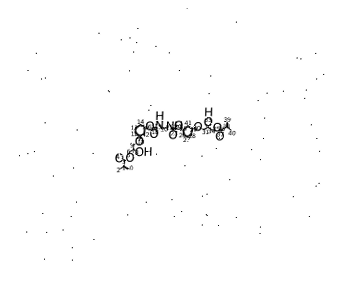 C=C(C)C(=O)OCC(O)COc1cccc(OC(=O)NCNC(=O)Oc2cccc(OCC(O)COC(=O)C(=C)C)c2)c1